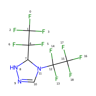 FC(F)(F)C(F)(F)C1NN=CN1C(F)(F)C(F)(F)F